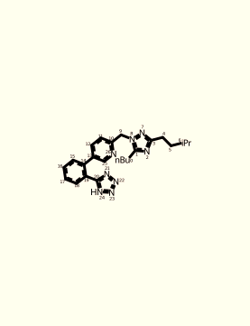 CCCCc1nc(CCC(C)C)nn1Cc1ccc(-c2ccccc2-c2nnn[nH]2)cn1